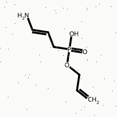 C=CCOP(=O)(O)CC=CN